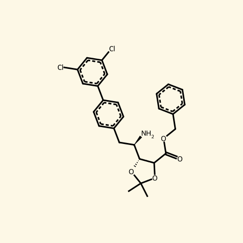 CC1(C)OC(C(=O)OCc2ccccc2)[C@@H]([C@H](N)Cc2ccc(-c3cc(Cl)cc(Cl)c3)cc2)O1